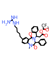 CN1C(=O)C(c2ccccc2)N(C(CC(=O)OC(=O)C(F)(F)F)c2ccccc2)C(=O)c2cc(CCCCCNC(=N)N)ccc21